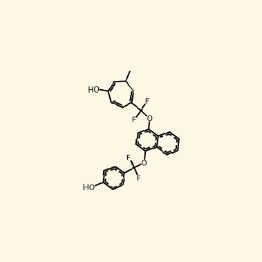 CC1C=C(O)C=CC(C(F)(F)Oc2ccc(OC(F)(F)c3ccc(O)cc3)c3ccccc23)=C1